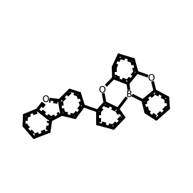 c1ccc2c(c1)Oc1cccc3c1B2c1cccc(-c2ccc4oc5ccccc5c4c2)c1O3